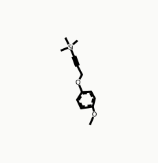 COc1ccc(OCC#C[Si](C)(C)C)cc1